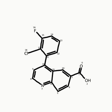 O=C(O)c1ccc2nccc(-c3cccc(F)c3Cl)c2c1